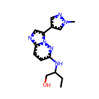 CCC(CO)Nc1ccc2ncc(-c3cnn(C)c3)n2n1